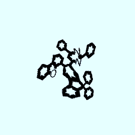 c1ccc(-c2cc(-c3cc4c(cc3-c3cccc5c3oc3ccccc35)-c3ccccc3C4(c3ccccc3)c3ccccc3)nc(-c3ccccc3)n2)cc1